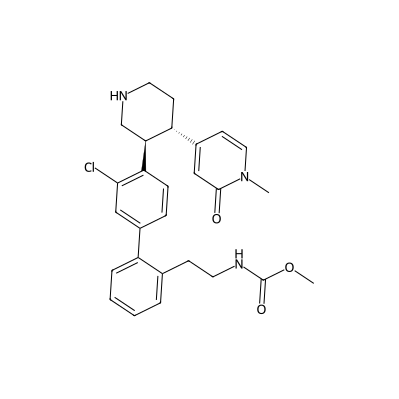 COC(=O)NCCc1ccccc1-c1ccc([C@H]2CNCC[C@@H]2c2ccn(C)c(=O)c2)c(Cl)c1